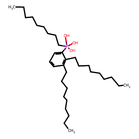 CCCCCCCCCc1cccc(P(O)(O)(O)CCCCCCCCC)c1CCCCCCCCC